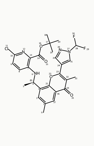 Cc1cc([C@@H](C)Nc2ccc(Cl)nc2C(=O)OC(C)(C)C)c2oc(-c3cnn(C(F)F)c3)c(C)c(=O)c2c1